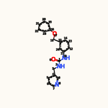 O=C(NCc1cccnc1)Nc1cccc(COc2ccccc2)c1